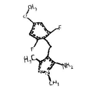 COc1cc(F)c(Cc2c(C)nn(C)c2N)c(F)c1